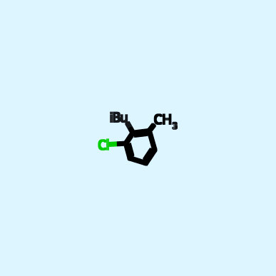 CCC(C)c1c(C)cccc1Cl